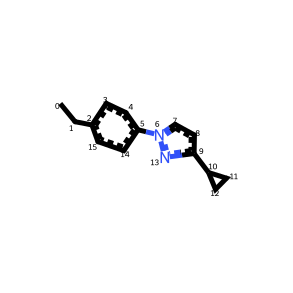 CCc1ccc(-n2ccc(C3CC3)n2)cc1